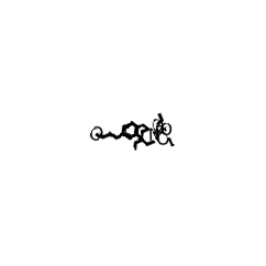 CCOP(=O)(OCC)N1CCC2(CC)CC1Cc1ccc(CCCOC)cc12